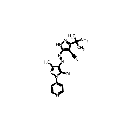 Cc1nn(-c2ccncc2)c(O)c1/N=N/c1[nH]nc(C(C)(C)C)c1C#N